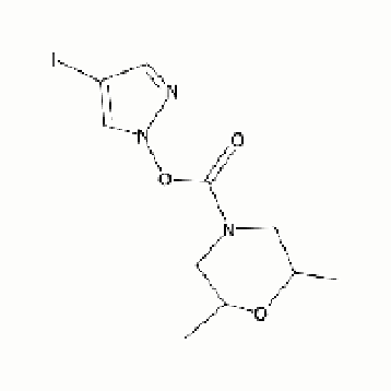 CC1CN(C(=O)On2cc(I)cn2)CC(C)O1